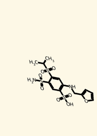 CC(C)S(=O)(=O)c1cc(NCc2ccco2)c(S(=O)(=O)O)cc1S(N)(=O)=O